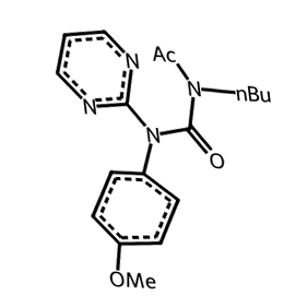 CCCCN(C(C)=O)C(=O)N(c1ccc(OC)cc1)c1ncccn1